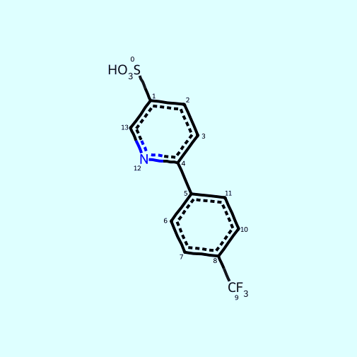 O=S(=O)(O)c1ccc(-c2ccc(C(F)(F)F)cc2)nc1